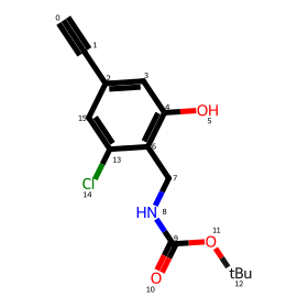 C#Cc1cc(O)c(CNC(=O)OC(C)(C)C)c(Cl)c1